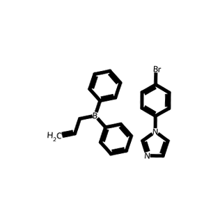 Brc1ccc(-n2ccnc2)cc1.C=CCB(c1ccccc1)c1ccccc1